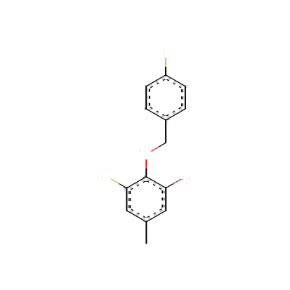 Cc1cc(S)c(OCc2ccc(F)cc2)c(Br)c1